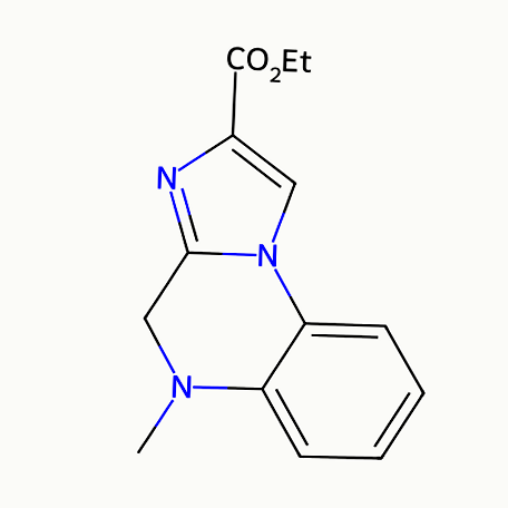 CCOC(=O)c1cn2c(n1)CN(C)c1ccccc1-2